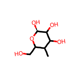 CC1C(CO)O[C@@H](O)C(O)C1O